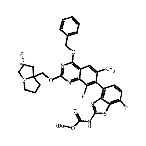 CC(C)(C)OC(=O)Nc1nc2c(-c3c(C(F)(F)F)cc4c(OCc5ccccc5)nc(OCC56CCCN5C[C@H](F)C6)nc4c3F)ccc(F)c2s1